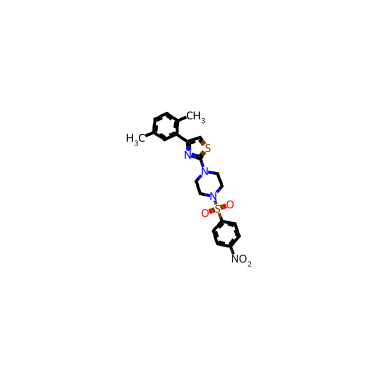 Cc1ccc(C)c(-c2csc(N3CCN(S(=O)(=O)c4ccc([N+](=O)[O-])cc4)CC3)n2)c1